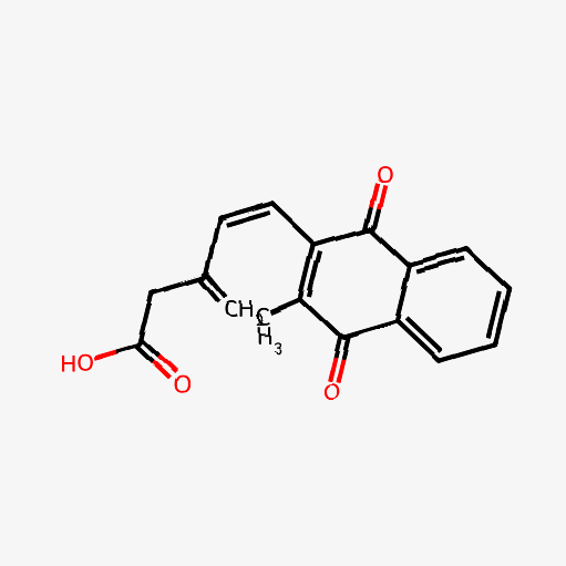 C=C(/C=C\C1=C(C)C(=O)c2ccccc2C1=O)CC(=O)O